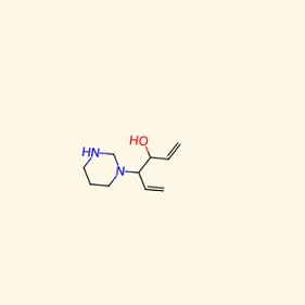 C=CC(O)C(C=C)N1CCCNC1